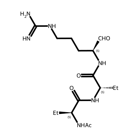 CC[C@H](NC(C)=O)C(=O)N[C@@H](CC)C(=O)N[C@H](C=O)CCCNC(=N)N